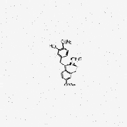 COc1ccc2c(c1)CCN(C=O)C2Cc1ccc(OC)c(O)c1